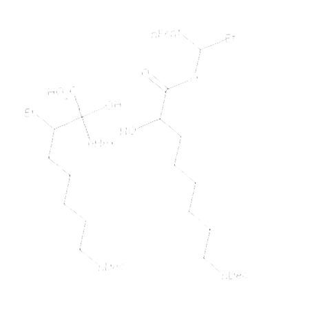 CCCCCCCCCCCCCCCC(CC)C(O)(CCCCCC)C(=O)O.CCCCCCCCCCCCCCCCC(O)C(=O)OC(CC)CCCCC